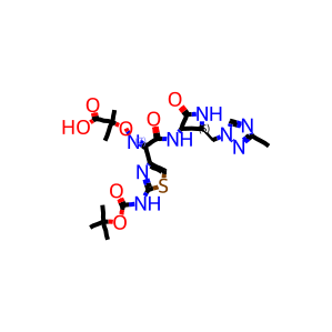 Cc1ncn(C[C@@H]2NC(=O)C2NC(=O)/C(=N\OC(C)(C)C(=O)O)c2csc(NC(=O)OC(C)(C)C)n2)n1